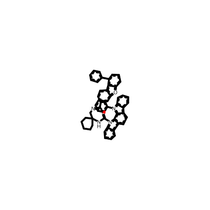 c1ccc(-c2cccc3oc4cc(C5=NCC6(CCCCC6)NC(n6c7ccccc7c7ccc8c9ccccc9n(-c9ccccc9)c8c76)=N5)ccc4c23)cc1